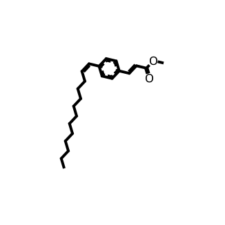 CCCCCCCCCCC/C=C\c1ccc(/C=C/C(=O)OC)cc1